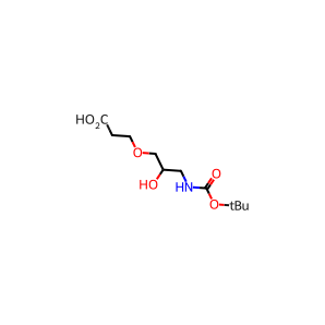 CC(C)(C)OC(=O)NCC(O)COCCC(=O)O